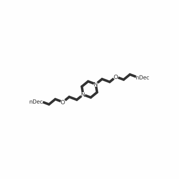 CCCCCCCCCCCCOCCN1CCN(CCOCCCCCCCCCCCC)CC1